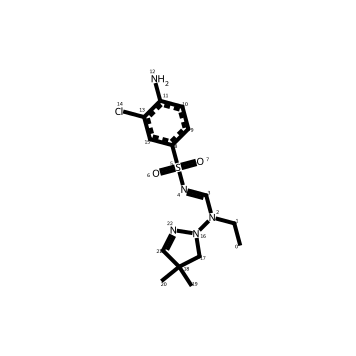 CCN(C=NS(=O)(=O)c1ccc(N)c(Cl)c1)N1CC(C)(C)C=N1